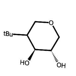 CC(C)(C)C1COC[C@H](O)[C@H]1O